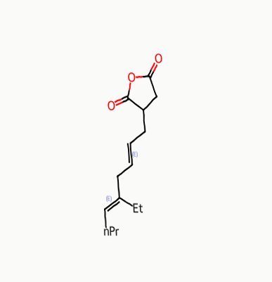 CCC/C=C(\CC)C/C=C/CC1CC(=O)OC1=O